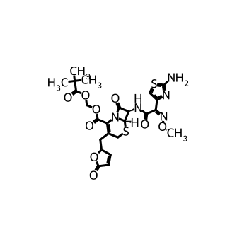 CO/N=C(\C(=O)N[C@@H]1C(=O)N2C(C(=O)OCOC(=O)C(C)(C)C)=C(CC3C=CC(=O)O3)CS[C@@H]12)c1csc(N)n1